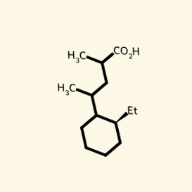 CC[C@H]1CCCCC1C(C)CC(C)C(=O)O